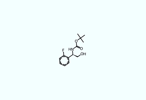 CC(C)(C)OC(=O)N[C@@H](CO)c1ccccc1F